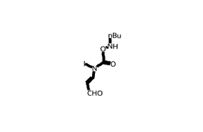 CCCCNOC(=O)N(I)C=CC=O